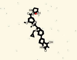 COc1cc(C(=O)N2C[C@H]3CC[C@@H]2[C@@H]3N)cc2nc(-c3cc4ccc(-c5ccc6[nH]c(=O)c(C)c(O)c6c5)cc4n3CC3CC3)n(C)c12